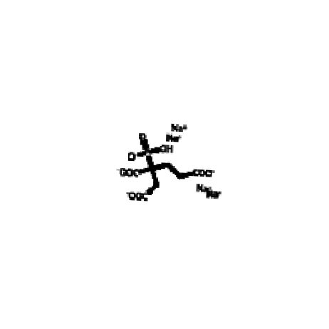 O=C([O-])CCC(CC(=O)[O-])(C(=O)[O-])P(=O)([O-])O.[Na+].[Na+].[Na+].[Na+]